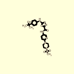 CC(C)(C)c1ccc(Nc2nnc(C(=O)Nc3ccc(N4CCN(S(C)(=O)=O)CC4)nc3)o2)cc1